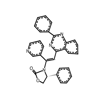 O=C1OC[C@@H](c2ccccc2)N1C(=[C]c1nc(-c2ccccc2)nc2ccccc12)c1cccnc1